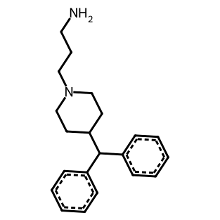 NCCCN1CCC(C(c2ccccc2)c2ccccc2)CC1